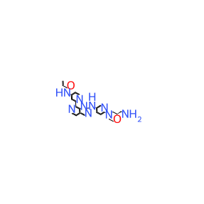 C=CC(=O)Nc1ccnc(-c2nccc3cnc(Nc4ccc(N5CCO[C@H](CN)C5)nc4)nc23)c1